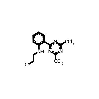 ClCCNc1ccccc1-c1nc(C(Cl)(Cl)Cl)nc(C(Cl)(Cl)Cl)n1